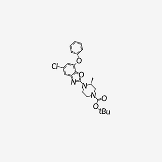 C[C@H]1CN(C(=O)OC(C)(C)C)CCN1c1nc2cc(Cl)cc(Oc3ccccc3)c2o1